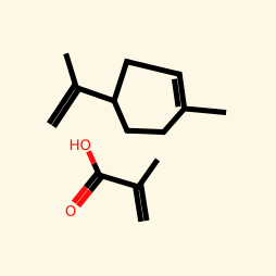 C=C(C)C(=O)O.C=C(C)C1CC=C(C)CC1